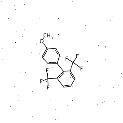 COc1ccc(-c2c(C(F)(F)F)c[c]cc2C(F)(F)F)cc1